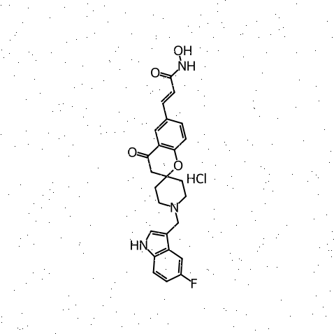 Cl.O=C(C=Cc1ccc2c(c1)C(=O)CC1(CCN(Cc3c[nH]c4ccc(F)cc34)CC1)O2)NO